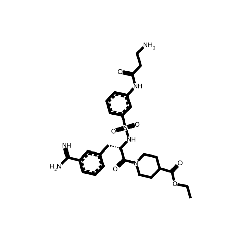 CCOC(=O)C1CCN(C(=O)[C@H](Cc2cccc(C(=N)N)c2)NS(=O)(=O)c2cccc(NC(=O)CCN)c2)CC1